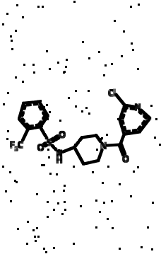 O=C(c1ccnc(Cl)c1)N1CCC(NS(=O)(=O)c2ccccc2C(F)(F)F)CC1